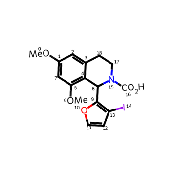 COc1cc2c(c(OC)c1)C(c1occc1I)N(C(=O)O)CC2